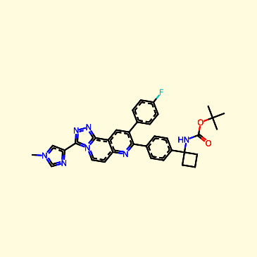 Cn1cnc(-c2nnc3c4cc(-c5ccc(F)cc5)c(-c5ccc(C6(NC(=O)OC(C)(C)C)CCC6)cc5)nc4ccn23)c1